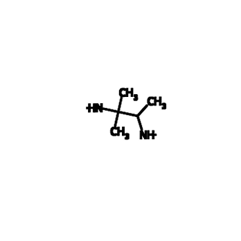 CC([NH])C(C)(C)[NH]